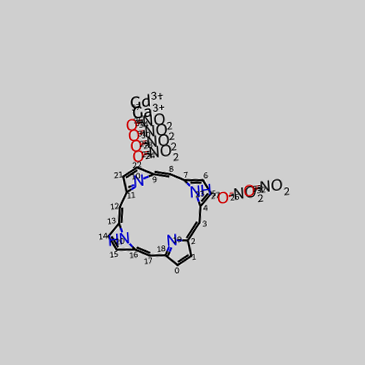 C1=Cc2cc3ccc(cc4nc(cc5ccc(cc1n2)[nH]5)C=C4)[nH]3.O=[N+]([O-])[O-].O=[N+]([O-])[O-].O=[N+]([O-])[O-].O=[N+]([O-])[O-].O=[N+]([O-])[O-].O=[N+]([O-])[O-].[Ga+3].[Gd+3]